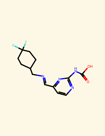 O=C(O)Nc1nccc(C=NCC2CCC(F)(F)CC2)n1